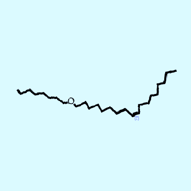 CCCCCCCC/C=C\CCCCCCCCOCCCCCCCC